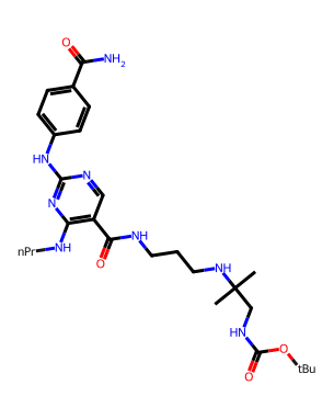 CCCNc1nc(Nc2ccc(C(N)=O)cc2)ncc1C(=O)NCCCNC(C)(C)CNC(=O)OC(C)(C)C